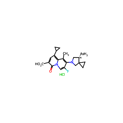 Cc1c(N2C[C@H]([AsH2])C3(CC3)C2)c(F)cn2c(=O)c(C(=O)O)cc(C3CC3)c12.Cl